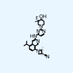 CC(C)c1ccc(N2C[C@H](C#N)[C@H]2C)c2cnc(Nc3ccnc(N4CC[C@@H](O)[C@@](C)(F)C4)n3)cc12